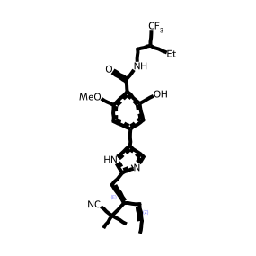 C/C=C\C(=C/c1ncc(-c2cc(O)c(C(=O)NCC(CC)C(F)(F)F)c(OC)c2)[nH]1)C(C)(C)C#N